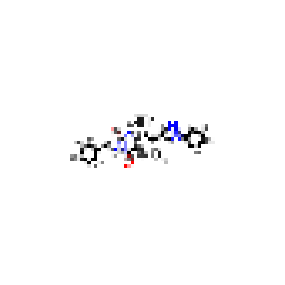 CC(C)Cn1c(C=Cc2cnn(-c3ccccc3)c2)c([N+](=O)[O-])c(=O)n(CCc2ccccc2)c1=O